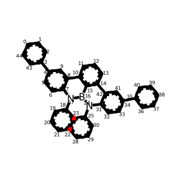 c1ccc(-c2ccc3c(c2)-c2cccc4c2B(N3c2ccccc2)N(c2ccccc2)c2ccc(-c3ccccc3)cc2-4)cc1